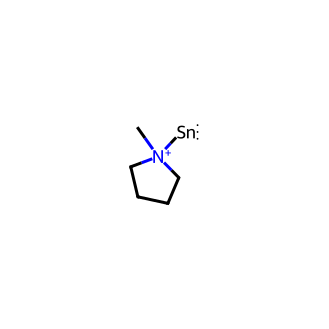 C[N+]1([Sn])CCCC1